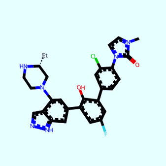 CC[C@@H]1CN(c2cc(-c3cc(F)cc(-c4ccc(-n5ccn(C)c5=O)c(Cl)c4)c3O)cc3[nH]ncc23)CCN1